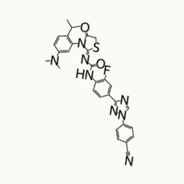 CC(C)c1ccc(N(C)C)cc1N1C(=O)CS/C1=N\C(=O)Nc1ccc(-c2ncn(-c3ccc(C#N)cc3)n2)cc1F